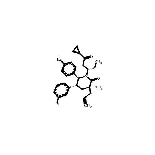 C=CC[C@@]1(C)C[C@H](c2cccc(Cl)c2)[C@@H](c2ccc(Cl)cc2)N([C@@H](CC)CC(=O)C2CC2)C1=O